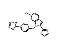 Clc1ccc2nc(-c3ncco3)n(Cc3ccc(-c4nnn[nH]4)cc3)c2c1